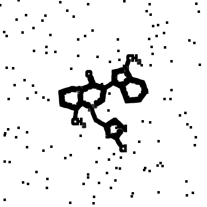 Cc1cccn2c(=O)c(-c3cn(C)c4ccccc34)c[n+](Cc3cnc(Cl)s3)c12